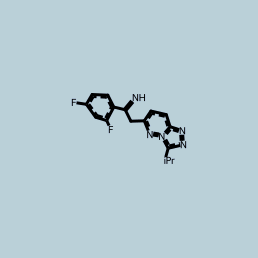 CC(C)c1nnc2ccc(CC(=N)c3ccc(F)cc3F)nn12